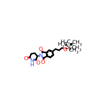 CC(C)(C)[Si](C)(C)OCCCc1ccc2c(c1)C(=O)N(C1CCC(=O)NC1=O)C2=O